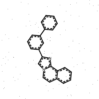 c1ccc(-c2cccc(-c3cn4ccc5ccccc5c4n3)c2)cc1